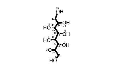 O=C(CO)[C@@H](O)[C@@H](O)[C@H](O)[C@H](O)C(O)CO